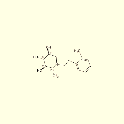 Cc1ccccc1CCN1C[C@H](O)[C@@H](O)[C@H](O)[C@H]1C